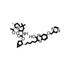 CC(=O)[C@@H]1[C@H](C)CCN1C(=O)C(CC(C)(C)C)NC(=O)OC1CC2CC2[C@H]1CCCCCc1nc2ccc(OCc3cnccn3)cc2nc1O